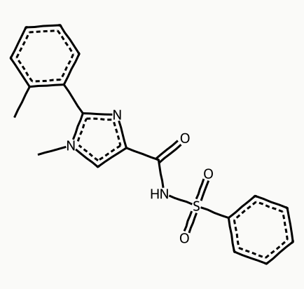 Cc1ccccc1-c1nc(C(=O)NS(=O)(=O)c2ccccc2)cn1C